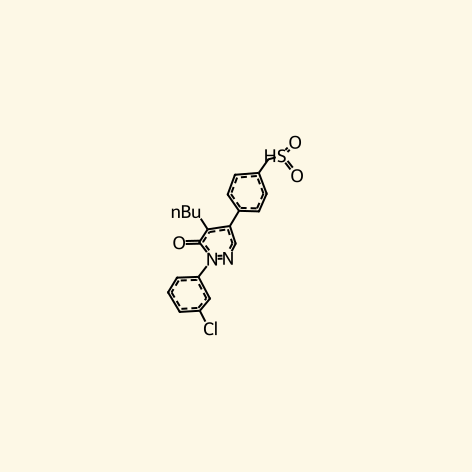 CCCCc1c(-c2ccc(C[SH](=O)=O)cc2)cnn(-c2cccc(Cl)c2)c1=O